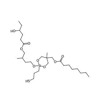 CCCCCCCC(=O)OCC1(C)CO[Si](CCCS)(OCCC(C)COC(=O)CCC(O)CC)OC1